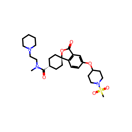 CN(CCN1CCCCC1)C(=O)[C@H]1CC[C@@]2(CC1)OC(=O)c1cc(OC3CCN(S(C)(=O)=O)CC3)ccc12